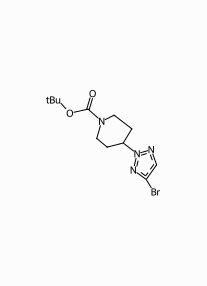 CC(C)(C)OC(=O)N1CCC(n2ncc(Br)n2)CC1